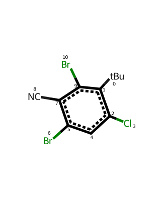 CC(C)(C)c1c(Cl)cc(Br)c(C#N)c1Br